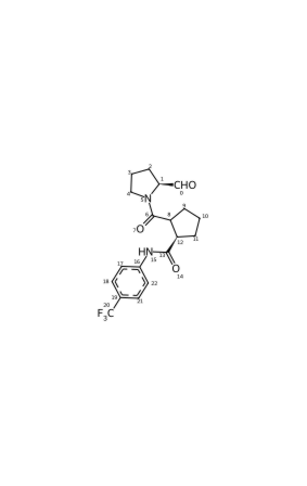 O=C[C@@H]1CCCN1C(=O)C1CCC[C@H]1C(=O)Nc1ccc(C(F)(F)F)cc1